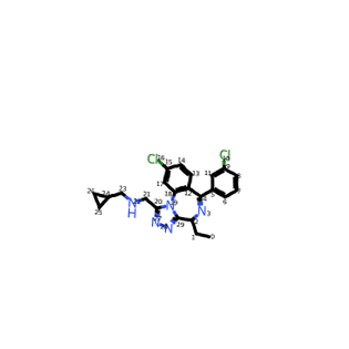 CCC1N=C(c2cccc(Cl)c2)c2ccc(Cl)cc2-n2c(CNCC3CC3)nnc21